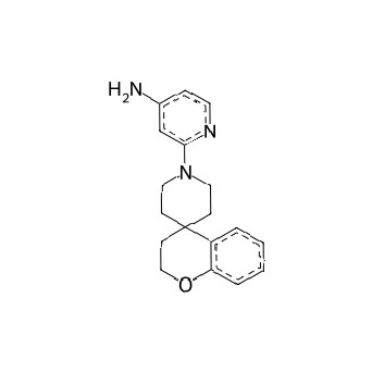 Nc1ccnc(N2CCC3(CCOc4ccccc43)CC2)c1